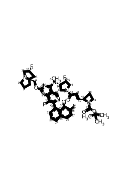 CN(c1nc(OC[C@@]23CCCN2C[C@H](F)C3)nc2c(F)c(-c3cccc4ccc(F)c(Cl)c34)ncc12)[C@H]1CN(C(=O)/C=C/[C@H]2CCN2C(=O)OC(C)(C)C)C[C@@H]1F